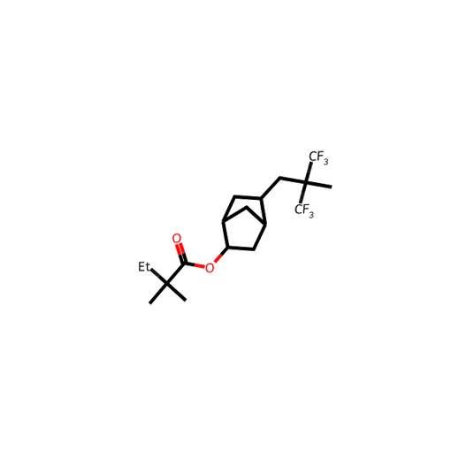 CCC(C)(C)C(=O)OC1CC2CC1CC2CC(C)(C(F)(F)F)C(F)(F)F